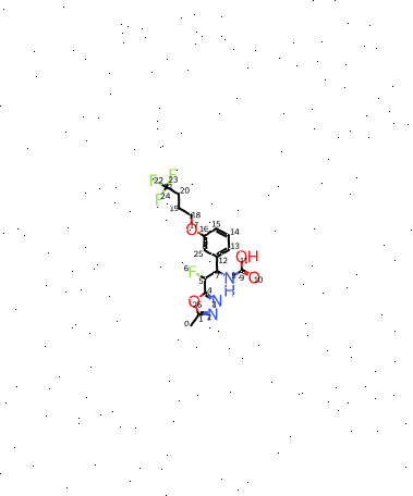 Cc1nnc(C(F)C(NC(=O)O)c2cccc(OCCCC(F)(F)F)c2)o1